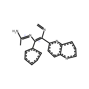 C=N/C(=C(\N=C(/C)N)c1ccccc1)c1ccc2ncccc2n1